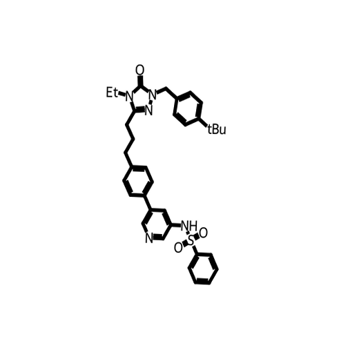 CCn1c(CCCc2ccc(-c3cncc(NS(=O)(=O)c4ccccc4)c3)cc2)nn(Cc2ccc(C(C)(C)C)cc2)c1=O